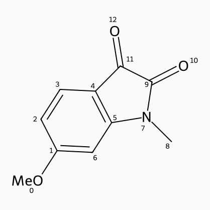 COc1ccc2c(c1)N(C)C(=O)C2=O